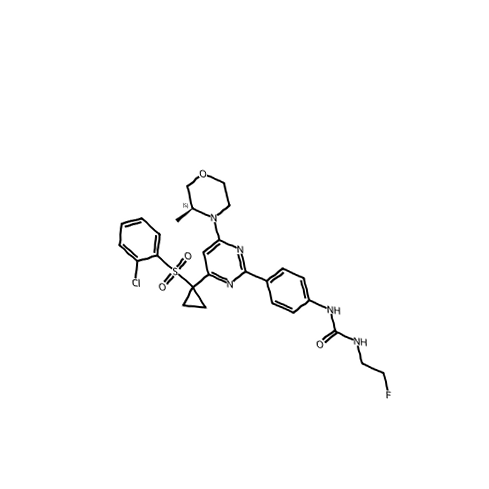 C[C@H]1COCCN1c1cc(C2(S(=O)(=O)c3ccccc3Cl)CC2)nc(-c2ccc(NC(=O)NCCF)cc2)n1